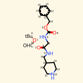 CC(C)(C)OC=O.O=C(CNC(=O)OCc1ccccc1)NCC1CCNCC1